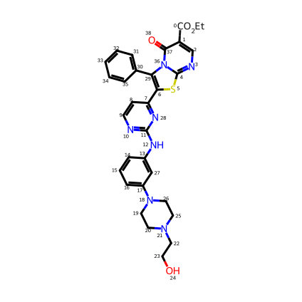 CCOC(=O)c1cnc2sc(-c3ccnc(Nc4cccc(N5CCN(CCO)CC5)c4)n3)c(-c3ccccc3)n2c1=O